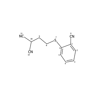 N#Cc1ccccc1SCCC(C#N)C#N